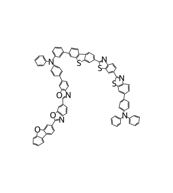 c1ccc(N(c2ccccc2)c2ccc(-c3ccc4nc(-c5ccc6nc(-c7ccc8c(c7)sc7cc(-c9cccc(N(c%10ccccc%10)c%10ccc(-c%11ccc%12nc(-c%13ccc%14nc(-c%15ccc%16c(c%15)oc%15ccccc%15%16)oc%14c%13)oc%12c%11)cc%10)c9)ccc78)sc6c5)sc4c3)cc2)cc1